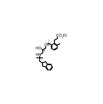 CCOC(=O)CCc1c(C)cccc1[C@@H](C)OC[C@H](O)CNC(C)(C)CC1Cc2ccccc2C1